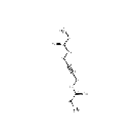 CCC(=O)OCC#CCOC(=O)CC